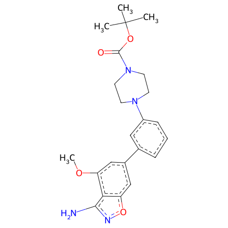 COc1cc(-c2cccc(N3CCN(C(=O)OC(C)(C)C)CC3)c2)cc2onc(N)c12